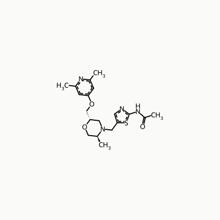 CC(=O)Nc1ncc(CN2C[C@@H](COc3cc(C)nc(C)c3)OC[C@@H]2C)s1